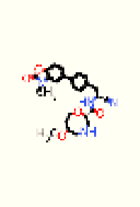 CO[C@@H]1CCO[C@H](C(=O)N[C@H](C#N)Cc2ccc(-c3ccc4oc(=O)n(C)c4c3)cc2)CNC1